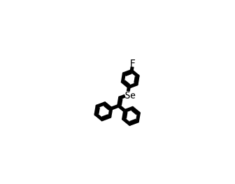 Fc1ccc([Se]C=C(c2ccccc2)c2ccccc2)cc1